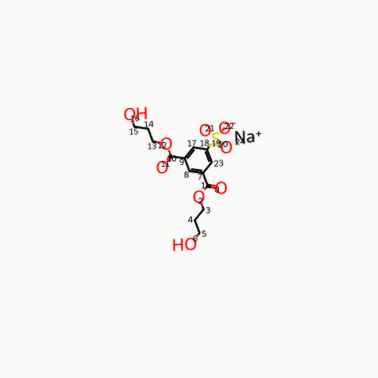 O=C(OCCCO)c1cc(C(=O)OCCCO)cc(S(=O)(=O)[O-])c1.[Na+]